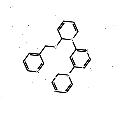 C1=CCN(c2ccnc(N3C=CC=CC3OCc3cccnc3)c2)C=C1